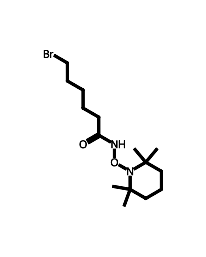 CC1(C)CCCC(C)(C)N1ONC(=O)CCCCCBr